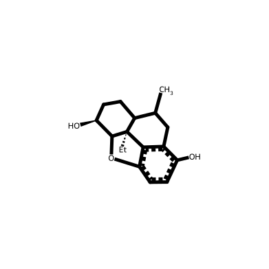 CC[C@@]12c3c4ccc(O)c3CC(C)C1CC[C@H](O)C2O4